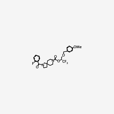 COc1ccc(COC[C@@H](OC(=O)N2CCC3(CC2)CCN(C(=O)c2ccccc2F)C3)C(F)(F)F)cc1